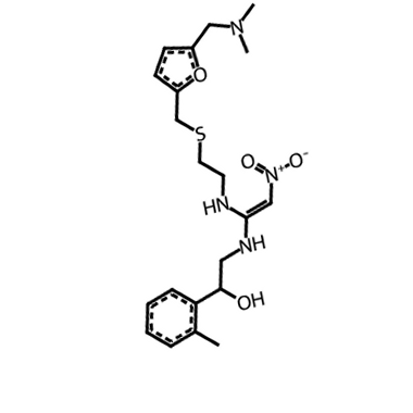 Cc1ccccc1C(O)CNC(=C[N+](=O)[O-])NCCSCc1ccc(CN(C)C)o1